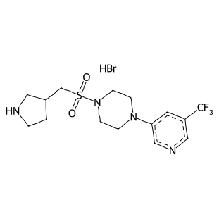 Br.O=S(=O)(CC1CCNC1)N1CCN(c2cncc(C(F)(F)F)c2)CC1